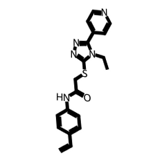 C=Cc1ccc(NC(=O)CSc2nnc(-c3ccncc3)n2CC)cc1